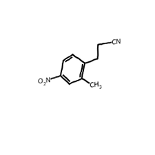 Cc1cc([N+](=O)[O-])ccc1CCC#N